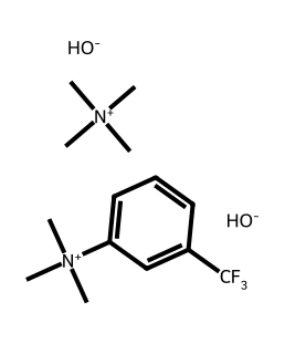 C[N+](C)(C)C.C[N+](C)(C)c1cccc(C(F)(F)F)c1.[OH-].[OH-]